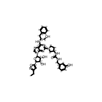 CCc1cc([C@H]2O[C@@H](n3cnc4c(N[C@H](CO)Cc5ccccc5)nc(N5CCC(NC(=O)NCc6cccc(O)c6)C5)nc43)[C@H](O)[C@@H]2O)on1